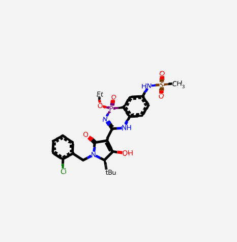 CCOP1(=O)N=C(C2=C(O)C(C(C)(C)C)N(Cc3ccccc3Cl)C2=O)Nc2ccc(NS(C)(=O)=O)cc21